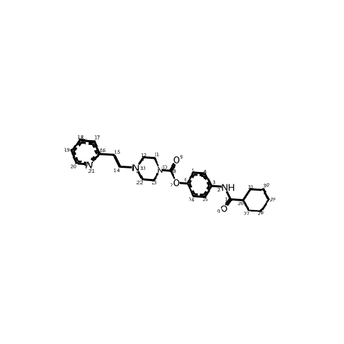 O=C(Nc1ccc(OC(=O)N2CCN(CCc3ccccn3)CC2)cc1)C1CCCCC1